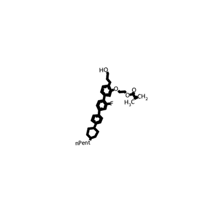 C=C(C)C(=O)OCCOc1cc(-c2ccc(-c3ccc(C4CCC(CCCCC)CC4)cc3)cc2F)ccc1CCCO